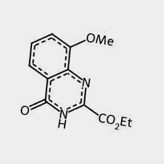 CCOC(=O)c1nc2c(OC)cccc2c(=O)[nH]1